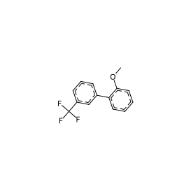 COc1ccccc1-c1cccc(C(F)(F)F)c1